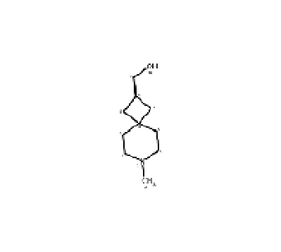 CN1CCC2(CC1)CC(CO)C2